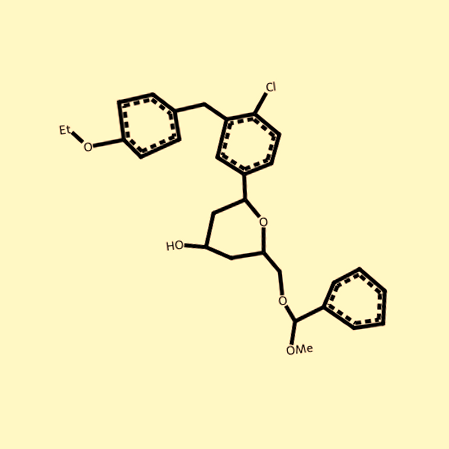 CCOc1ccc(Cc2cc(C3CC(O)CC(COC(OC)c4ccccc4)O3)ccc2Cl)cc1